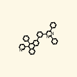 c1ccc(-c2cc(-c3cccc(-c4ccc5c(c4)c(-c4ccccc4)c(-c4cccnc4)c4ccccc45)c3)nc(-c3ccccc3)n2)cc1